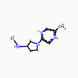 CCNC1CCN(c2cnc(C)cn2)C1